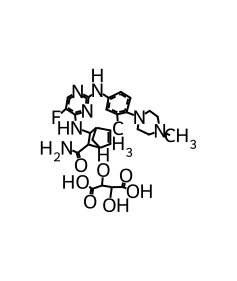 Cc1cc(Nc2ncc(F)c(NC3C4C=CC(C4)C3C(N)=O)n2)ccc1N1CCN(C)CC1.O=C(O)C(O)C(O)C(=O)O